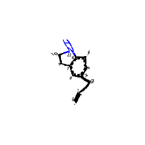 [C]#CCc1ccc2c(c1)CCN2